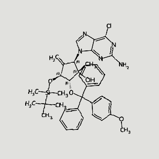 C=C1[C@H](O[Si](C)(C)C(C)(C)C)[C@@H](OC(c2ccccc2)(c2ccccc2)c2ccc(OC)cc2)[C@@](C)(O)[C@@H]1n1cnc2c(Cl)nc(N)nc21